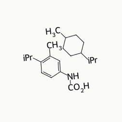 CC1CCC(C(C)C)CC1.Cc1cc(NC(=O)O)ccc1C(C)C